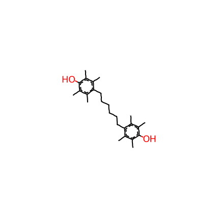 Cc1c(C)c(CCCCCCc2c(C)c(C)c(O)c(C)c2C)c(C)c(C)c1O